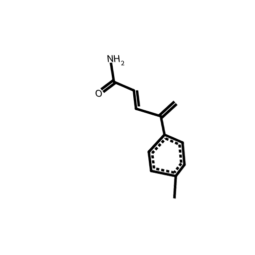 C=C(C=CC(N)=O)c1ccc(C)cc1